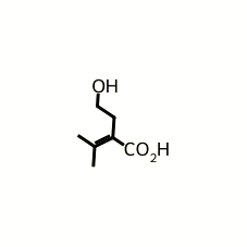 CC(C)=C(CCO)C(=O)O